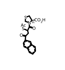 CC(=O)SC(CC(=O)c1ccc2ccccc2c1)C(=O)N1CSC[C@H]1C(=O)O